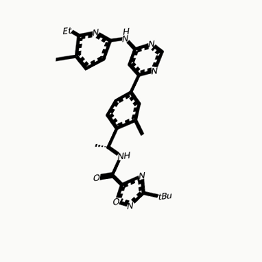 CCc1nc(Nc2cc(-c3ccc([C@@H](C)NC(=O)c4nc(C(C)(C)C)no4)c(C)c3)ncn2)ccc1C